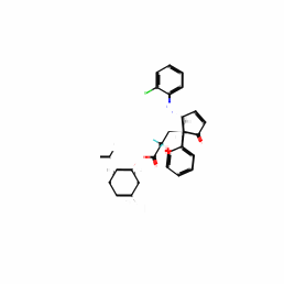 CC(C)[C@H]1CC[C@H](C)C[C@@H]1OC(=O)C(F)(F)C[C@]1(c2ccccc2)C(=O)C=C[C@H]1Nc1ccccc1Cl